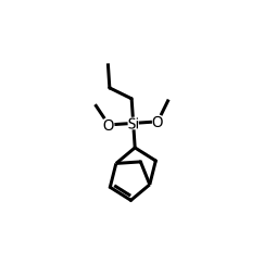 CCC[Si](OC)(OC)C1CC2C=CC1C2